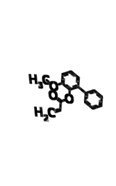 C=CC(=O)Oc1c(OC)cccc1-c1ccccc1